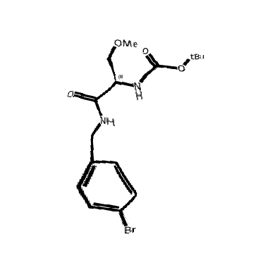 COC[C@@H](NC(=O)OC(C)(C)C)C(=O)NCc1ccc(Br)cc1